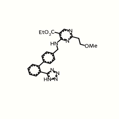 CCOC(=O)c1cnc(CCOC)nc1NCc1ccc(-c2ccccc2-c2nnn[nH]2)cc1